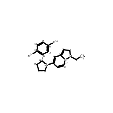 N#CCN1CC=C2C=C(N3CCC[C@@H]3c3cc(F)ccc3F)C=CN21